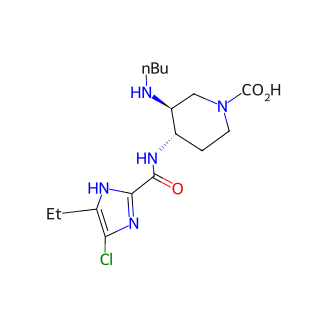 CCCCN[C@H]1CN(C(=O)O)CC[C@@H]1NC(=O)c1nc(Cl)c(CC)[nH]1